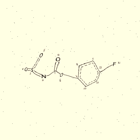 O=C(N=S(=O)=O)Oc1ccc(F)cc1